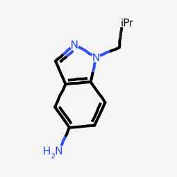 CC(C)Cn1ncc2cc(N)ccc21